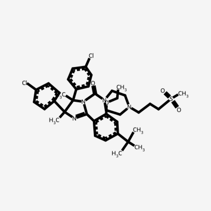 CCOc1cc(C(C)(C)C)ccc1C1=NC(C)(c2ccc(Cl)cc2)C(C)(c2ccc(Cl)cc2)N1C(=O)N1CCN(CCCS(C)(=O)=O)CC1